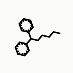 CCCCC[C](c1ccccc1)c1ccccc1